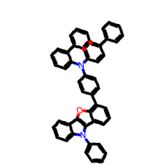 c1ccc(-c2ccc(N(c3ccc(-c4cccc5c4oc4c6ccccc6n(-c6ccccc6)c54)cc3)c3ccccc3-c3ccccc3)cc2)cc1